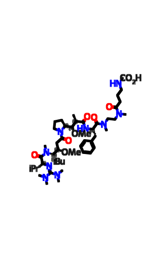 CC[C@H](C)[C@@H]([C@@H](CC(=O)N1CCC[C@H]1[C@H](OC)[C@@H](C)C(=O)N[C@@H](Cc1ccccc1)C(=O)N(C)CCN(C)C(=O)CCCNC(=O)O)OC)N(C)C(=O)[C@@H](N=C(N(C)C)N(C)C)C(C)C